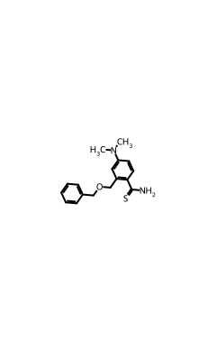 CN(C)c1ccc(C(N)=S)c(COCc2ccccc2)c1